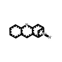 [N-]=[n+]1c2cc3nc4ccccc4cc3c1c2